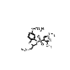 CC(=O)NCC1CN(S(=O)(=O)c2cn(C)nc2C(F)(F)F)c2cc(NC(=O)O)ccc2O1